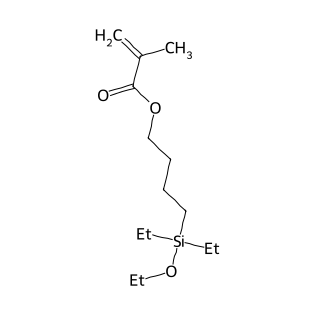 C=C(C)C(=O)OCCCC[Si](CC)(CC)OCC